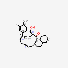 CCC[C@H]1CC2/C(O)=C(\C(=O)O)C(=O)[C@]3(CC)C(C=CC4C[C@@H](C)CCC43)C/C=C/C/C(C)=C/[C@@]2(C)C=C1C